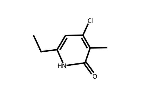 CCc1cc(Cl)c(C)c(=O)[nH]1